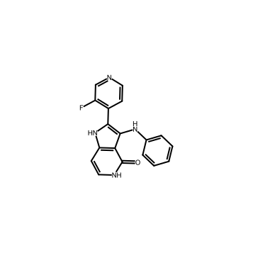 O=c1[nH]ccc2[nH]c(-c3ccncc3F)c(Nc3ccccc3)c12